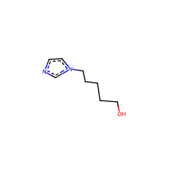 OCCCCCn1ccnc1